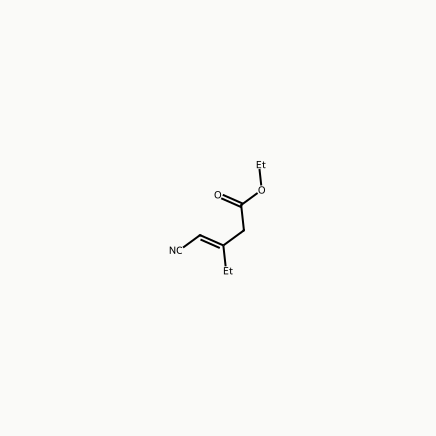 CCOC(=O)CC(=CC#N)CC